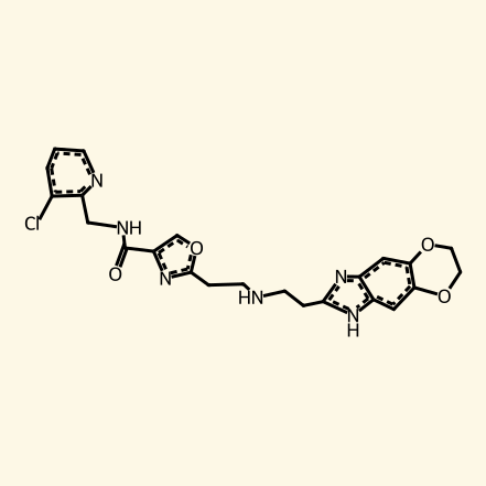 O=C(NCc1ncccc1Cl)c1coc(CCNCCc2nc3cc4c(cc3[nH]2)OCCO4)n1